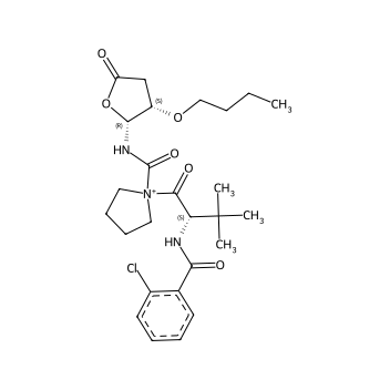 CCCCO[C@H]1CC(=O)O[C@H]1NC(=O)[N+]1(C(=O)[C@@H](NC(=O)c2ccccc2Cl)C(C)(C)C)CCCC1